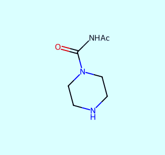 CC(=O)NC(=O)N1CCNCC1